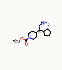 CC(C)(C)OC(=O)N1CCC([C@@H](CN)C2CCCC2)CC1